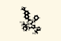 CC(C)(O)c1cnnn1[C@H]1C[C@@H](C(=O)NC2(C(=O)C(N)=O)CCOCC2)N(C(=O)[C@@H](CC2CCCCC2)NC(=O)c2ccc3cc(C4COC4)ccc3c2)C1